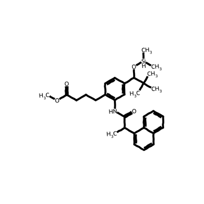 COC(=O)CCCc1ccc(C(O[SiH](C)C)C(C)(C)C)cc1NC(=O)C(C)c1cccc2ccccc12